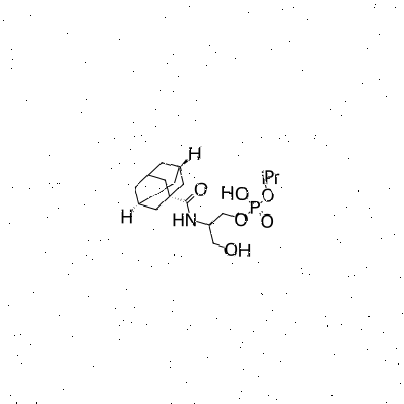 CC(C)OP(=O)(O)OCC(CO)NC(=O)[C@]12CC3C[C@@H](C[C@H](C3)C1)C2